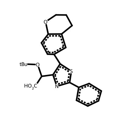 CC(C)(C)OC(C(=O)O)c1nc(-c2ccccc2)sc1-c1ccc2c(c1)CCCO2